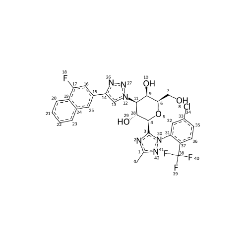 Cc1nc([C@@H]2O[C@H](CO)[C@H](O)[C@H](n3cc(-c4cc(F)c5ccccc5c4)nn3)[C@H]2O)n(-c2cc(Cl)ccc2C(F)(F)F)n1